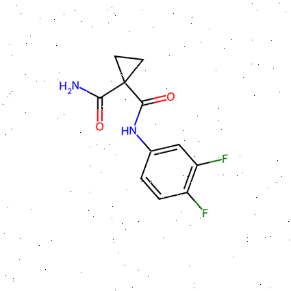 NC(=O)C1(C(=O)Nc2ccc(F)c(F)c2)CC1